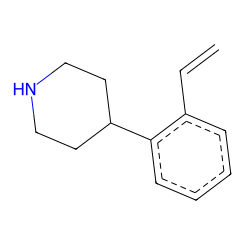 C=Cc1ccccc1C1CCNCC1